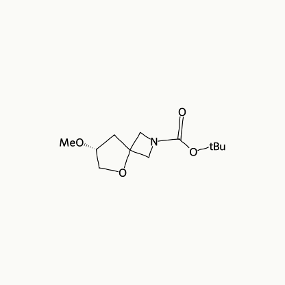 CO[C@H]1COC2(C1)CN(C(=O)OC(C)(C)C)C2